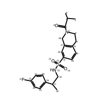 CC(C)C(=O)N1CCc2ccc(S(=O)(=O)NCC(C)c3ccc(F)cc3)cc2C1